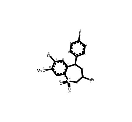 CCCCC1CC(c2ccc(F)cc2)c2cc(Cl)c(OC)cc2S(=O)(=O)C1